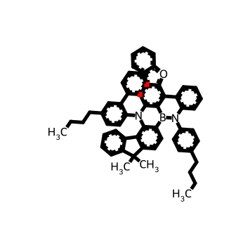 CCCCc1ccc(N2B3c4ccc5c(c4N(c4ccc(CCCC)cc4-c4ccccc4)c4cc6c(oc7ccccc76)c(c43)-c3ccccc32)-c2ccccc2C5(C)C)cc1